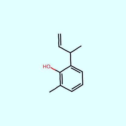 C=CC(C)c1cccc(C)c1O